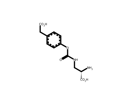 N[C@@H](CNC(=O)Oc1ccc(CC(=O)O)cc1)C(=O)O